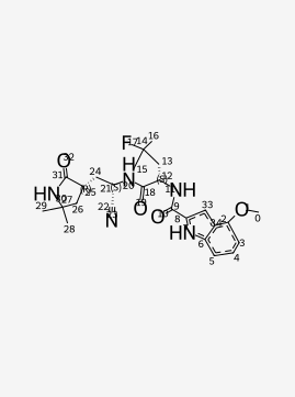 COc1cccc2[nH]c(C(=O)N[C@@H](CC(C)(C)F)C(=O)N[C@H](C#N)C[C@@H]3CC(C)(C)NC3=O)cc12